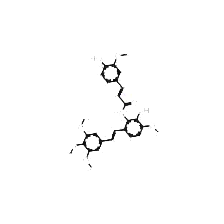 COc1cc(/C=C/C(=O)Nc2c(C=Cc3cc(OC)c(OC)c(OC)c3)ccc(OC)c2O)ccc1O